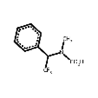 CN(C(=O)O)C(c1ccccc1)C(F)(F)F